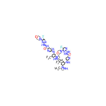 CC1CC(C2CN(c3nc(NNC(=O)c4ccc(Nc5cc(N6NCCC6C)cc(C(F)(F)F)c5)cn4)ncc3F)CCO2)N(c2cc(Nc3ccc(C(=O)NNc4ncc(F)c(N5CCOCC5)n4)nc3)cc(C(F)(F)F)c2)N1